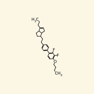 CCCCOc1ccc(-c2ccc(CCC3CCC4C(CCC)=CCC34)cc2)c(F)c1F